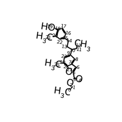 CCOC(=O)c1cc2cc(C(CC)CCc3ccc(O)c(C)c3)cc(C)c2o1